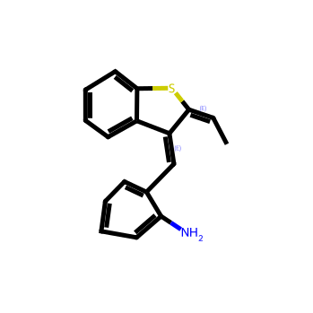 C/C=c1/sc2ccccc2/c1=C\c1ccccc1N